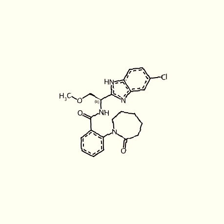 COC[C@H](NC(=O)c1ccccc1N1CCCCCC1=O)c1nc2cc(Cl)ccc2[nH]1